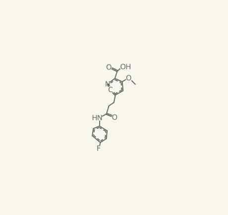 COc1cc(CCC(=O)Nc2ccc(F)cc2)cnc1C(=O)O